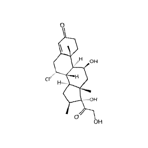 C[C@H]1C[C@H]2[C@H]3[C@H]([C@@H](O)C[C@]2(C)[C@@]1(O)C(=O)CO)[C@@]1(C)CCC(=O)C=C1C[C@H]3Cl